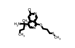 CCC[C@](C)(N)c1cnc(OCCCSC)c2cnc(Cl)cc12